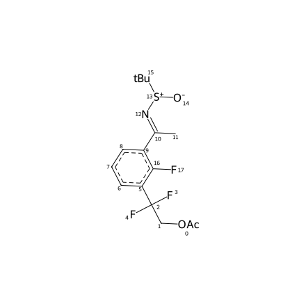 CC(=O)OCC(F)(F)c1cccc(C(C)=N[S+]([O-])C(C)(C)C)c1F